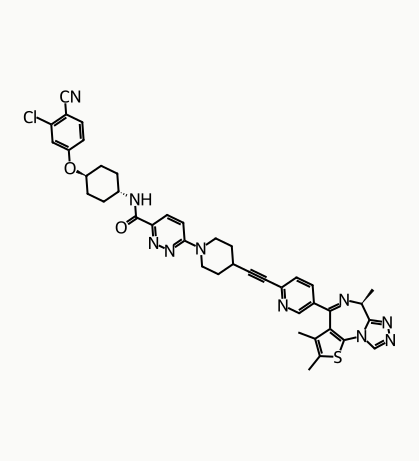 Cc1sc2c(c1C)C(c1ccc(C#CC3CCN(c4ccc(C(=O)N[C@H]5CC[C@H](Oc6ccc(C#N)c(Cl)c6)CC5)nn4)CC3)nc1)=N[C@@H](C)c1nncn1-2